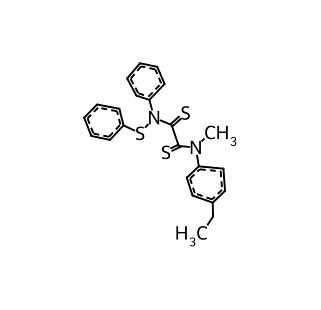 CCc1ccc(N(C)C(=S)C(=S)N(Sc2ccccc2)c2ccccc2)cc1